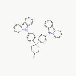 FC1CCC(c2ccc(-n3c4ccccc4c4ccccc43)cc2)(c2ccc(-n3c4ccccc4c4ccccc43)cc2)CC1